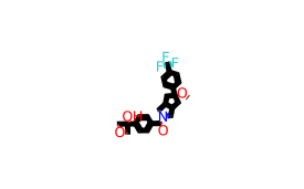 COC1(c2ccc(C(F)(F)F)cc2)CC2CN(C(=O)c3ccc(C4(O)COC4)cc3)CC2C1